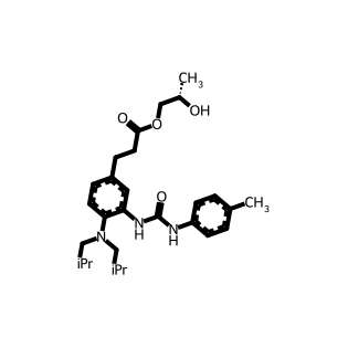 Cc1ccc(NC(=O)Nc2cc(CCC(=O)OC[C@H](C)O)ccc2N(CC(C)C)CC(C)C)cc1